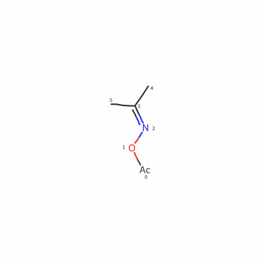 [CH2]C(=O)ON=C(C)C